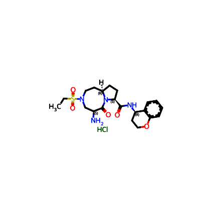 CCS(=O)(=O)N1CC[C@H]2CC[C@@H](C(=O)N[C@@H]3CCOc4ccccc43)N2C(=O)[C@@H](N)C1.Cl